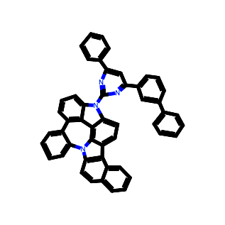 c1ccc(-c2cccc(-c3cc(-c4ccccc4)nc(-n4c5cccc6c7ccccc7n7c8ccc9ccccc9c8c8ccc4c(c65)c87)n3)c2)cc1